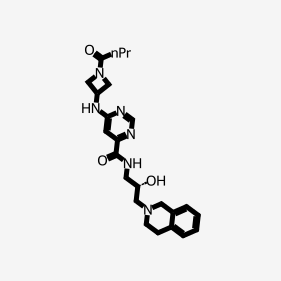 CCCC(=O)N1CC(Nc2cc(C(=O)NC[C@H](O)CN3CCc4ccccc4C3)ncn2)C1